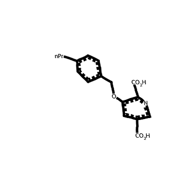 CCCc1ccc(COc2cc(C(=O)O)cnc2C(=O)O)cc1